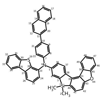 C[Si]1(C)c2cc(N(c3ccc(-c4ccc5ccccc5c4)cc3)c3cccc4c3sc3ccccc34)ccc2-c2c1ccc1oc3ccccc3c21